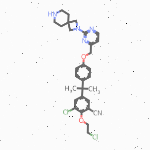 CC(C)(c1ccc(OCc2ccnc(N3CC4(CCNCC4)C3)n2)cc1)c1cc(Cl)c(OCCCl)c(C#N)c1